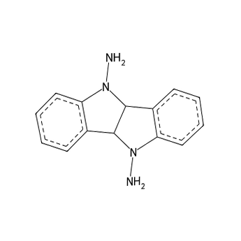 NN1c2ccccc2C2C1c1ccccc1N2N